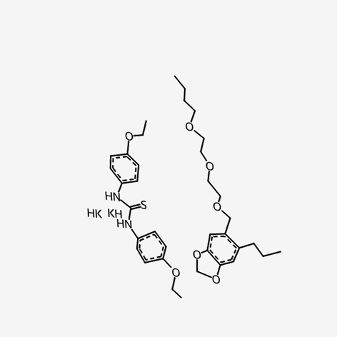 CCCCOCCOCCOCc1cc2c(cc1CCC)OCO2.CCOc1ccc(NC(=S)Nc2ccc(OCC)cc2)cc1.[KH].[KH]